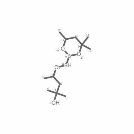 CC(CC(C)(C)O)OBB1OC(C)CC(C)(C)O1